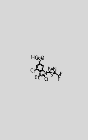 CCn1c(=O)n(-c2nnc(C(F)F)s2)c2cc(S(=O)O)cc(Cl)c21